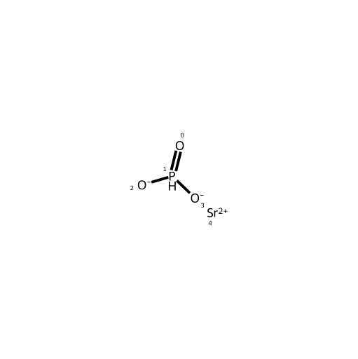 O=[PH]([O-])[O-].[Sr+2]